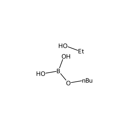 CCCCOB(O)O.CCO